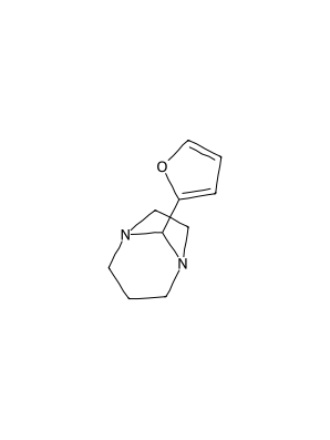 c1coc(C2N3CCCN2CC3)c1